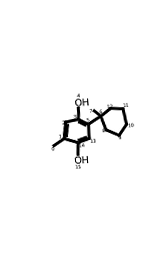 Cc1cc(O)c(C2(C)CCCCC2)cc1O